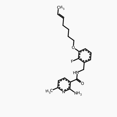 C/C=C/CCCCOc1cccc(CNC(=O)c2ccc(C)nc2N)c1F